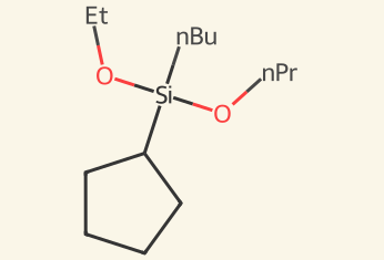 CCCC[Si](OCC)(OCCC)C1CCCC1